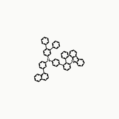 c1ccc(-c2ccc(N(c3ccc(-c4cccc(-n5c6ccccc6c6ccccc65)c4-c4ccccc4)cc3)c3cccc(-c4cccc5ccccc45)c3)cc2-c2ccccc2)cc1